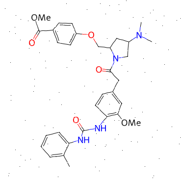 COC(=O)c1ccc(OCC2CC(N(C)C)CN2C(=O)Cc2ccc(NC(=O)Nc3ccccc3C)c(OC)c2)cc1